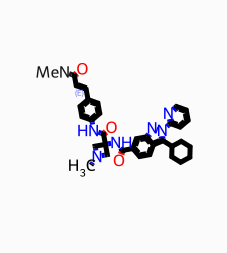 CNC(=O)/C=C/c1ccc(NC(=O)C2(NC(=O)c3ccc4c(C5CCCCC5)n(-c5ccccn5)nc4c3)CN(C)C2)cc1